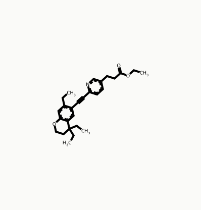 CCOC(=O)CCc1ccc(C#Cc2cc3c(cc2CC)OCCC3(CC)CC)nc1